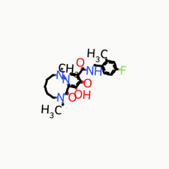 CCN1CCCCCN(C)n2cc(C(=O)NCc3ccc(F)cc3C)c(=O)c(O)c2C1=O